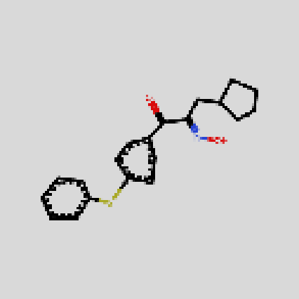 O=C(C(CC1CCCC1)=NO)c1ccc(Sc2ccccc2)cc1